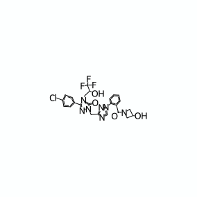 O=C(c1ccccc1-n1cnc(Cn2nc(-c3ccc(Cl)cc3)n(CC(O)C(F)(F)F)c2=O)n1)N1CC(O)C1